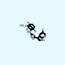 O=C(O)[C@@H]1C(Nc2nc(-c3c[nH]c4ncc(F)cc34)ns2)[C@H]2CC[C@@H]1CC2